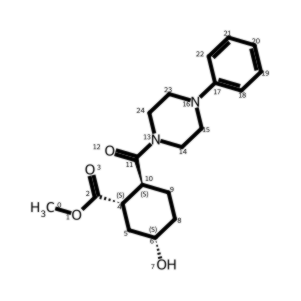 COC(=O)[C@H]1C[C@@H](O)CC[C@@H]1C(=O)N1CCN(c2ccccc2)CC1